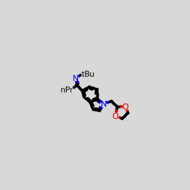 CCC/C(=N/C(C)(C)C)c1ccc2c(ccn2CC2OCCO2)c1